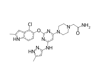 Cc1cc(Nc2cc(N3CCN(CC(N)=O)CC3)nc(Oc3ccc4[nH]c(C)cc4c3Cl)n2)n[nH]1